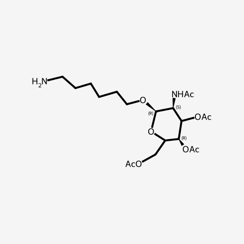 CC(=O)N[C@H]1C(OC(C)=O)[C@@H](OC(C)=O)C(COC(C)=O)O[C@H]1OCCCCCCN